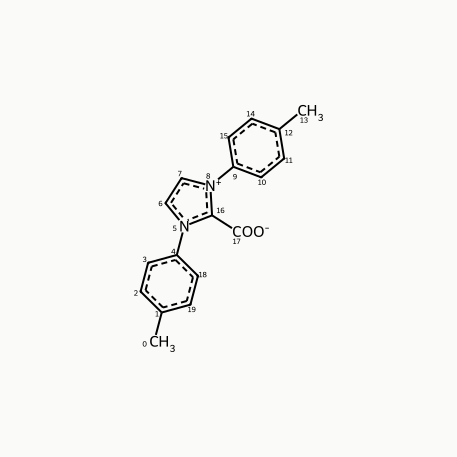 Cc1ccc(-n2cc[n+](-c3ccc(C)cc3)c2C(=O)[O-])cc1